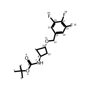 CC(C)(C)OC(=O)N[C@H]1C[C@H](OCc2cc(F)c(F)c(F)c2)C1